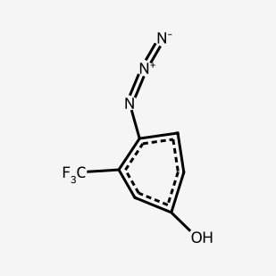 [N-]=[N+]=Nc1ccc(O)cc1C(F)(F)F